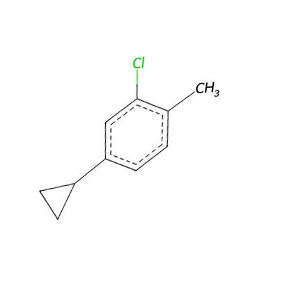 Cc1ccc(C2CC2)cc1Cl